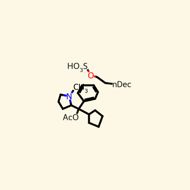 CC(=O)OC(c1ccccc1)(C1CCCC1)C1CCCN1C.CCCCCCCCCCCCOS(=O)(=O)O